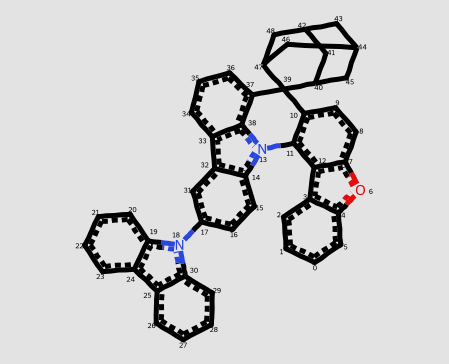 c1ccc2c(c1)oc1ccc3c(c12)-n1c2ccc(-n4c5ccccc5c5ccccc54)cc2c2cccc(c21)C31C2CC3CC(C2)CC1C3